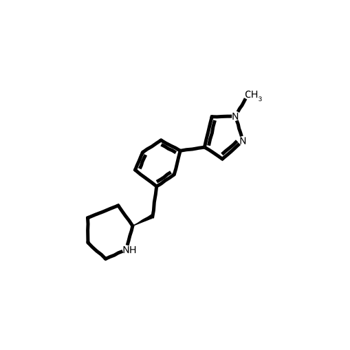 Cn1cc(-c2cccc(C[C@@H]3CCCCN3)c2)cn1